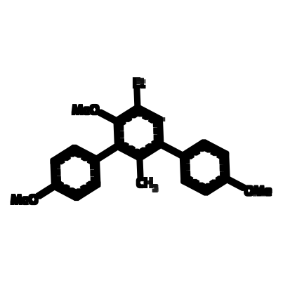 CCc1[c]c(-c2ccc(OC)cc2)c(C)c(-c2ccc(OC)cc2)c1OC